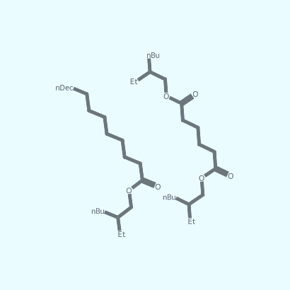 CCCCC(CC)COC(=O)CCCCC(=O)OCC(CC)CCCC.CCCCCCCCCCCCCCCCCC(=O)OCC(CC)CCCC